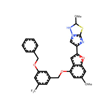 COc1cc(OCc2cc(OCc3ccccc3)cc(C(F)(F)F)c2)c2cc(-c3cn4c(n3)SC(OC)N4)oc2c1